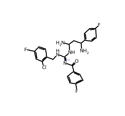 NC(CC(N)c1ccc(F)cc1)N/C(=N\C(=O)c1ccc(F)cc1)NCc1ccc(F)cc1Cl